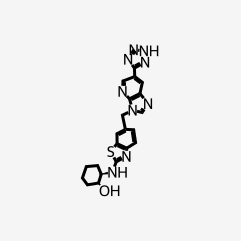 O[C@@H]1CCCC[C@H]1Nc1nc2ccc(Cn3cnc4cc(-c5nn[nH]n5)cnc43)cc2s1